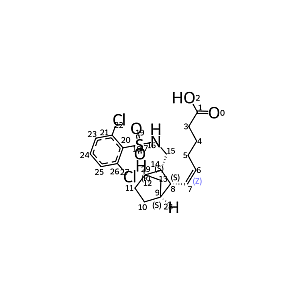 O=C(O)CCC/C=C\[C@@H]1[C@H]2CC[C@H](C2)[C@@H]1CNS(=O)(=O)c1c(Cl)cccc1Cl